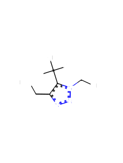 CCc1nnn(CC)c1C(C)(C)C